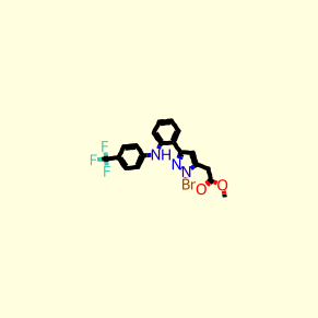 COC(=O)Cc1cc(-c2ccccc2Nc2ccc(C(F)(F)F)cc2)nn1Br